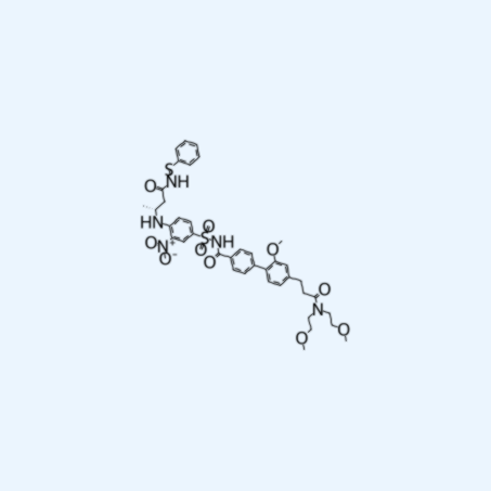 COCCN(CCOC)C(=O)CCc1ccc(-c2ccc(C(=O)NS(=O)(=O)c3ccc(N[C@H](C)CC(=O)NSc4ccccc4)c([N+](=O)[O-])c3)cc2)c(OC)c1